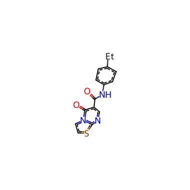 CCc1ccc(NC(=O)c2cnc3sccn3c2=O)cc1